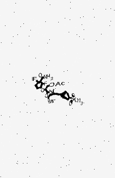 CC(=O)OCC(Oc1ccc(F)c(C(N)=O)c1F)c1nc(-c2ccc(S(C)(=O)=O)cc2)c(Br)o1